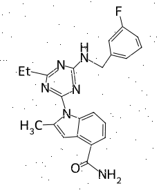 CCc1nc(NCc2cccc(F)c2)nc(-n2c(C)cc3c(C(N)=O)cccc32)n1